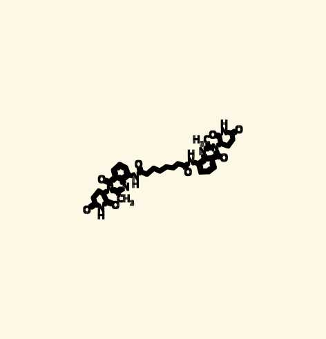 Cc1nc2c(NC(=O)CCCCCCC(=O)Nc3cccc4c(=O)n(C5CCC(=O)NC5=O)c(C)nc34)cccc2c(=O)n1C1CCC(=O)NC1=O